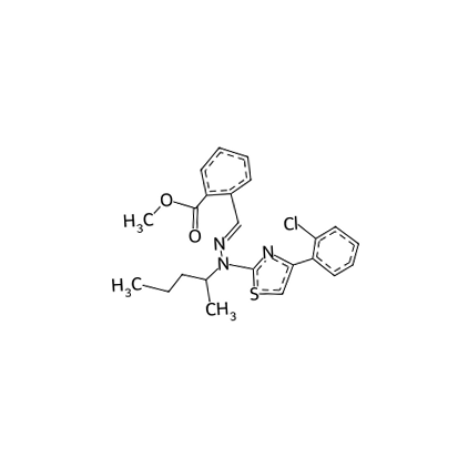 CCCC(C)N(/N=C/c1ccccc1C(=O)OC)c1nc(-c2ccccc2Cl)cs1